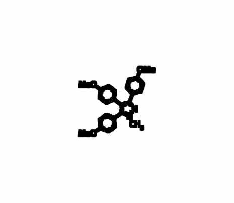 COc1ccc(-c2nn(C)c(-c3ccc(OC)cc3)c2-c2ccc(OC)cc2)cc1